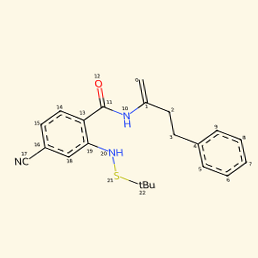 C=C(CCc1ccccc1)NC(=O)c1ccc(C#N)cc1NSC(C)(C)C